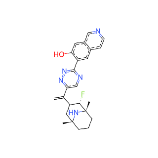 C=C(c1cnc(-c2cc3ccncc3cc2O)nn1)C1C[C@@]2(C)CCC[C@](C)(N2)[C@H]1F